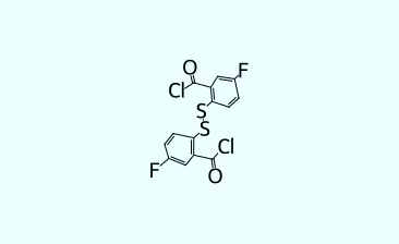 O=C(Cl)c1cc(F)ccc1SSc1ccc(F)cc1C(=O)Cl